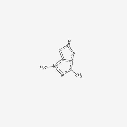 Cc1nn(C)c2c[nH]nc12